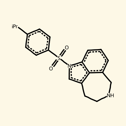 CC(C)c1ccc(S(=O)(=O)n2cc3c4c(cccc42)CNCC3)cc1